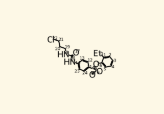 CCc1ccccc1OS(=O)(=O)c1ccc(NC(=O)NCCCCl)cc1